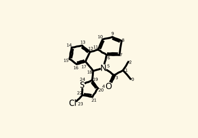 CC(C)C(=O)N1c2ccccc2-c2ccccc2C1c1ccc(Cl)s1